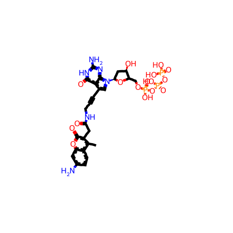 Cc1c(CC(=O)NCC#Cc2cn([C@H]3C[C@@H](O)C(COP(=O)(O)OP(=O)(O)OP(=O)(O)O)O3)c3nc(N)[nH]c(=O)c23)c(=O)oc2cc(N)ccc12